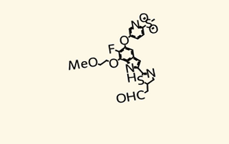 COCCOc1c(F)c(Oc2ccc(S(C)(=O)=O)nc2)cc2cc(C3=NCC(CC=O)S3)[nH]c12